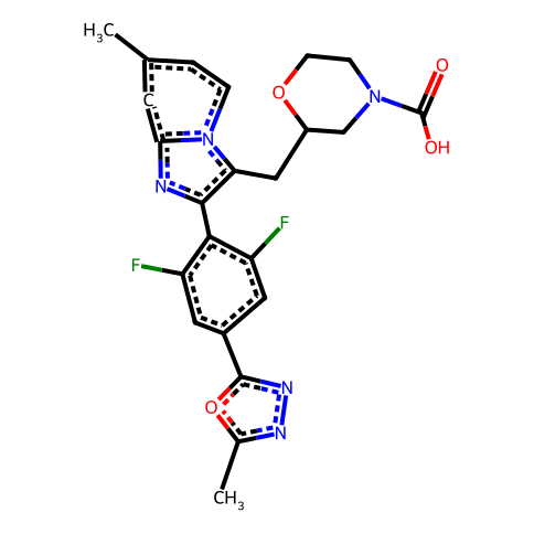 Cc1ccn2c(CC3CN(C(=O)O)CCO3)c(-c3c(F)cc(-c4nnc(C)o4)cc3F)nc2c1